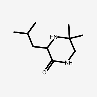 CC(C)CC1NC(C)(C)CNC1=O